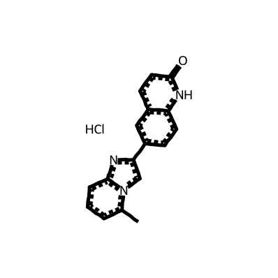 Cc1cccc2nc(-c3ccc4[nH]c(=O)ccc4c3)cn12.Cl